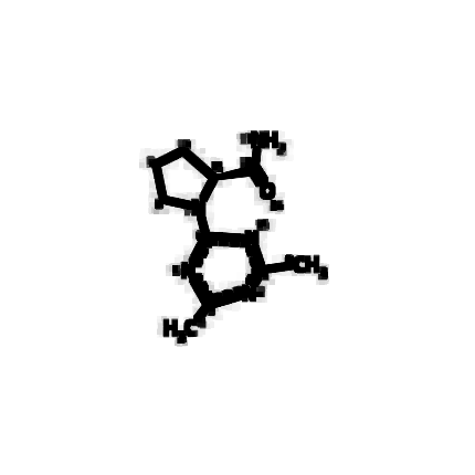 Cc1nc(C)nc(N2CCC[C@H]2C(N)=O)n1